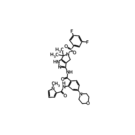 Cn1cccc1C(=O)Nc1cc(N2CCOCC2)ccc1C(=O)Nc1n[nH]c2c1CN(S(=O)(=O)c1cc(F)cc(F)c1)C2(C)C